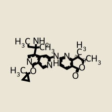 CCC(C)(N)c1cnc(OC2(C)CC2)c2cnc(Nc3ccc4c(n3)[C@H](C)[C@H](C)OC4=O)cc12